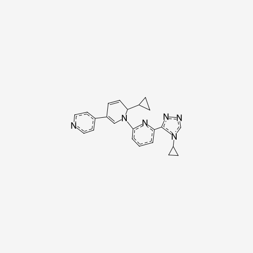 C1=CC(C2CC2)N(c2cccc(-c3nncn3C3CC3)n2)C=C1c1ccncc1